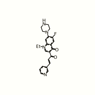 CCn1cc(C(=O)C=Cc2cccnc2)c(=O)c2cc(F)c(N3CCNCC3)cc21